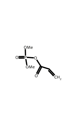 C=CC(=O)OP(=O)(OC)OC